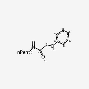 CCCCCNC(=O)COc1ccccc1